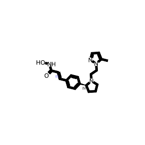 Cc1ccnn1CCN1CCC[C@H]1c1ccc(/C=C/C(=O)NO)cc1